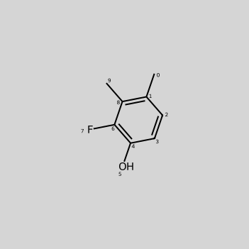 Cc1ccc(O)c(F)c1C